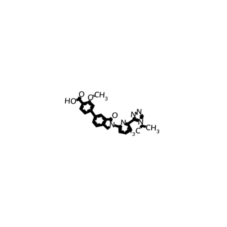 COc1cc(-c2ccc3c(c2)C(=O)N(c2cccc(-c4nncn4C(C)C)n2)C3)ccc1C(=O)O